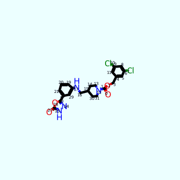 O=C(OCc1cc(Cl)cc(Cl)c1)N1CCC(CNc2cccc(-c3n[nH]c(=O)o3)c2)CC1